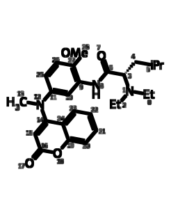 CCN(CC)[C@@H](CC(C)C)C(=O)Nc1cc(N(C)c2cc(=O)oc3ccccc23)ccc1OC